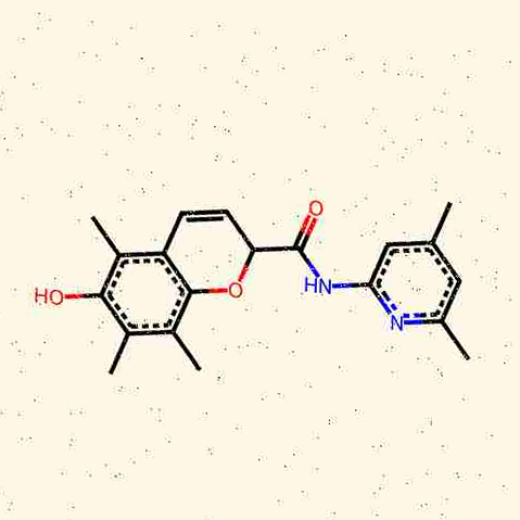 Cc1cc(C)nc(NC(=O)C2C=Cc3c(C)c(O)c(C)c(C)c3O2)c1